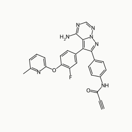 C#CC(=O)Nc1ccc(-c2nn3ncnc(N)c3c2-c2ccc(Oc3cccc(C)n3)c(F)c2)cc1